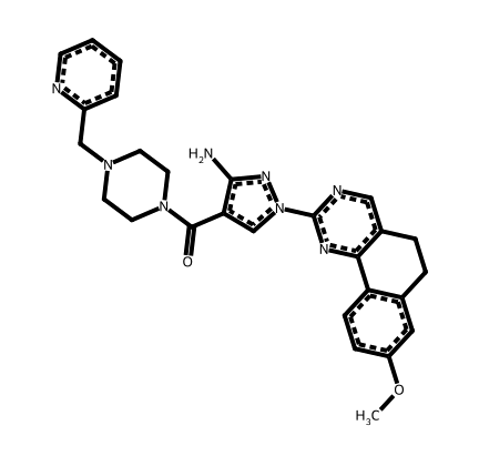 COc1ccc2c(c1)CCc1cnc(-n3cc(C(=O)N4CCN(Cc5ccccn5)CC4)c(N)n3)nc1-2